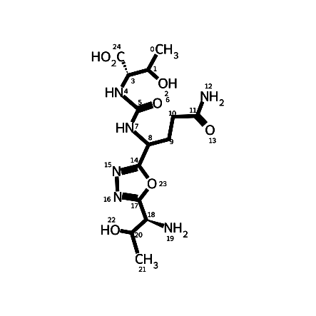 CC(O)[C@H](NC(=O)NC(CCC(N)=O)c1nnc([C@@H](N)C(C)O)o1)C(=O)O